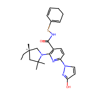 CC[C@]1(C)CN(c2nc(-n3ccc(O)n3)ccc2C(=O)NSC2=CCCC=C2)C(C)(C)C1